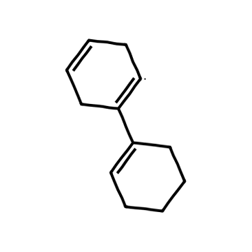 [C]1=C(C2=CCCCC2)CC=CC1